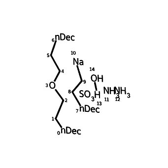 CCCCCCCCCCCCOCCCCCCCCCCCC.CCCCCCCCCCC[CH2][Na].N.N.O=S(=O)(O)O